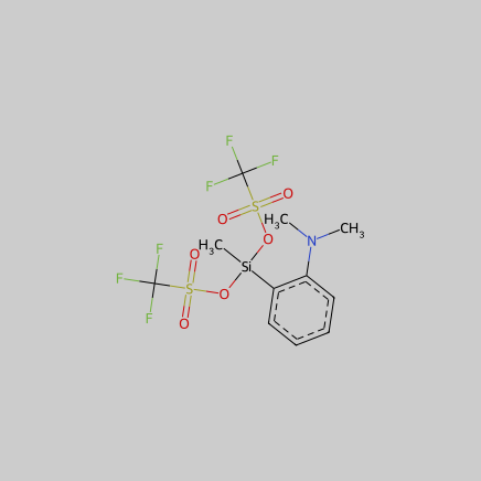 CN(C)c1ccccc1[Si](C)(OS(=O)(=O)C(F)(F)F)OS(=O)(=O)C(F)(F)F